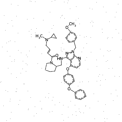 COc1ccc(Cn2nc(NCC3CCCCN3C(=O)C=CCN(C)C3CC3)c3c(Oc4ccc(Oc5ccccc5)cc4)ccnc32)cc1